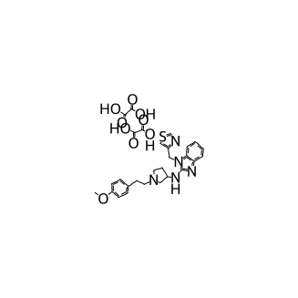 COc1ccc(CCN2CCC(Nc3nc4ccccc4n3Cc3cscn3)C2)cc1.O=C(O)C(=O)O.O=C(O)C(=O)O